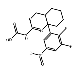 O=C(O)NC1=NC2(c3cc([N+](=O)[O-])cc(F)c3F)CCCCC2CS1